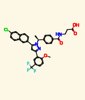 COc1ccc(C(F)(F)F)cc1-c1cc(-c2ccc3cc(Cl)ccc3c2)n([C@@H](C)c2ccc(C(=O)NCCC(=O)O)cc2)n1